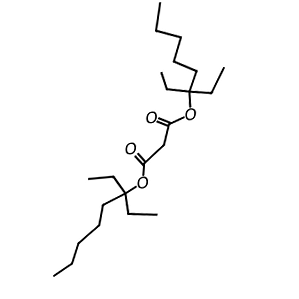 CCCCCC(CC)(CC)OC(=O)CC(=O)OC(CC)(CC)CCCCC